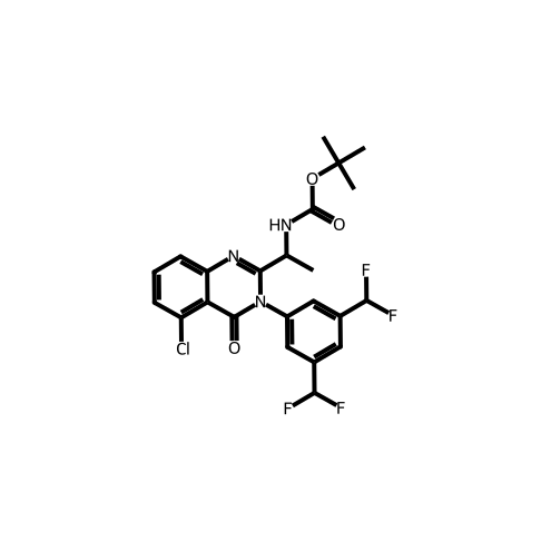 CC(NC(=O)OC(C)(C)C)c1nc2cccc(Cl)c2c(=O)n1-c1cc(C(F)F)cc(C(F)F)c1